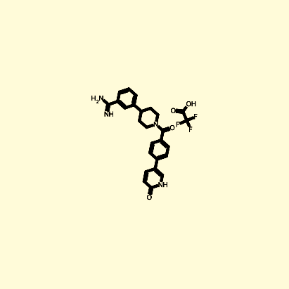 N=C(N)c1cccc(C2CCN(C(=O)c3ccc(-c4ccc(=O)[nH]c4)cc3)CC2)c1.O=C(O)C(F)(F)F